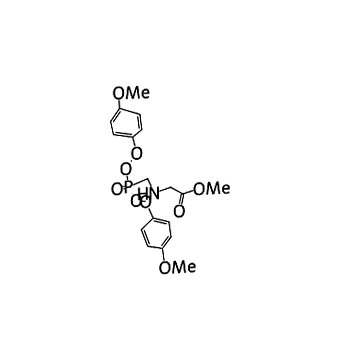 COC(=O)CNCP(=O)(OOc1ccc(OC)cc1)OOc1ccc(OC)cc1